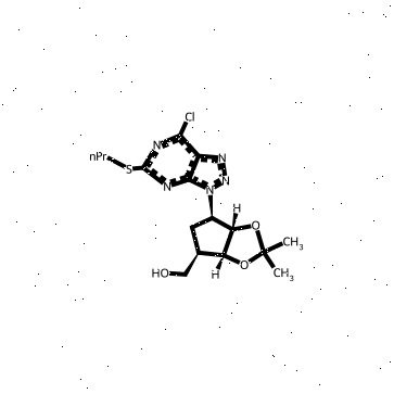 CCCSc1nc(Cl)c2nnn([C@@H]3C[C@H](CO)[C@H]4OC(C)(C)O[C@H]43)c2n1